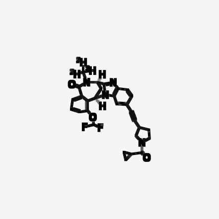 [2H]C([2H])([2H])N1C(=O)c2cccc(OC(F)F)c2[C@H]2C[C@@H]1c1nc3ccc(C#CC4CCN(C(=O)C5CC5)C4)cc3n12